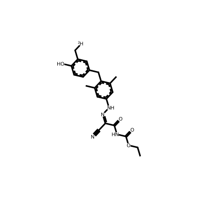 [2H]Cc1cc(Cc2c(C)cc(NN=C(C#N)C(=O)NC(=O)OCC)cc2C)ccc1O